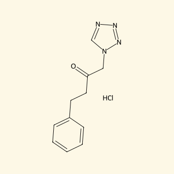 Cl.O=C(CCc1ccccc1)Cn1cnnn1